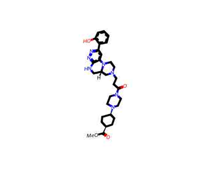 COC(=O)[C@H]1CC[C@@H](N2CCN(C(=O)CCN3CCN4c5cc(-c6ccccc6O)nnc5NC[C@H]4C3)CC2)CC1